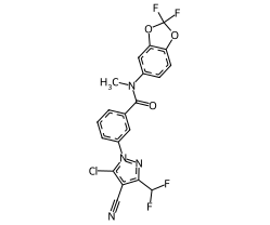 CN(C(=O)c1cccc(-n2nc(C(F)F)c(C#N)c2Cl)c1)c1ccc2c(c1)OC(F)(F)O2